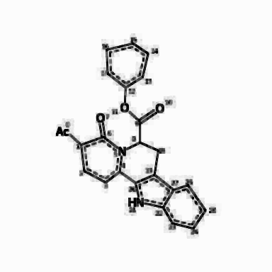 CC(=O)c1ccc2n(c1=O)C(C(=O)Oc1ccccc1)Cc1c-2[nH]c2ccccc12